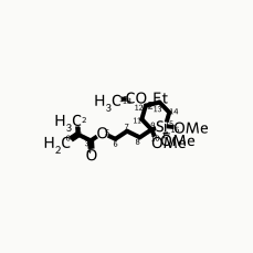 C=C(C)C(=O)OCCCC1(OC)CCCC[Si]1(OC)OC.CCOC(C)=O